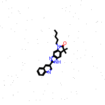 CCCCCN1C(=O)C(C)(C)c2cc3[nH]c(-c4cnc5ccccc5c4)nc3cc21